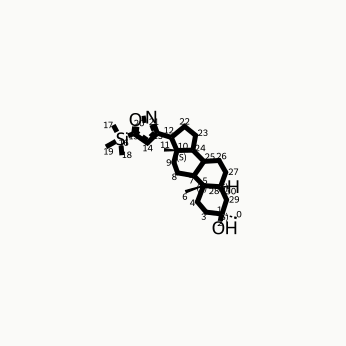 C[C@]1(O)CC[C@]2(C)C3CC[C@]4(C)C(c5cc([Si](C)(C)C)on5)CCC4C3CC[C@H]2C1